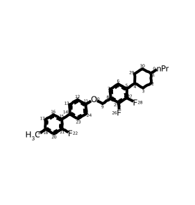 CCCC1CCC(c2ccc(COc3ccc(-c4ccc(C)cc4F)cc3)c(F)c2F)CC1